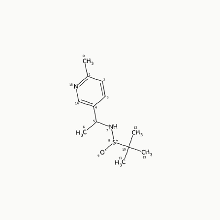 Cc1ccc(C(C)N[S+]([O-])C(C)(C)C)cn1